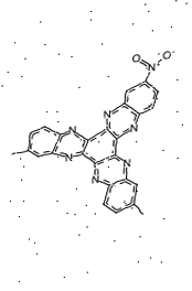 Cc1ccc2nc3c4nc5cc(C)ccc5nc4c4nc5cc([N+](=O)[O-])ccc5nc4c3nc2c1